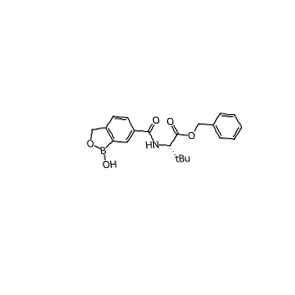 CC(C)(C)[C@H](NC(=O)c1ccc2c(c1)B(O)OC2)C(=O)OCc1ccccc1